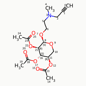 C#CCN(C)CCO[C@H]1OC[C@@H](OC(C)=O)[C@H](OC(C)=O)[C@H]1OC(C)=O